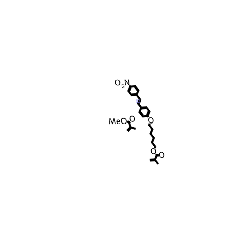 C=C(C)C(=O)OC.C=C(C)C(=O)OCCCCCCOc1ccc(/C=C/c2ccc([N+](=O)[O-])cc2)cc1